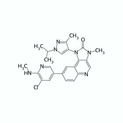 CNc1ncc(-c2ccc3ncc4c(c3c2)n(-c2cn(C(C)C)nc2C)c(=O)n4C)cc1Cl